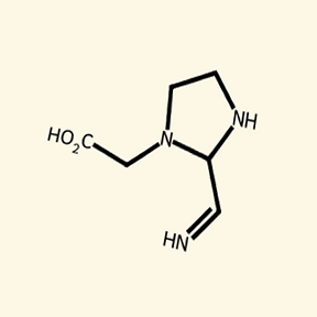 N=CC1NCCN1CC(=O)O